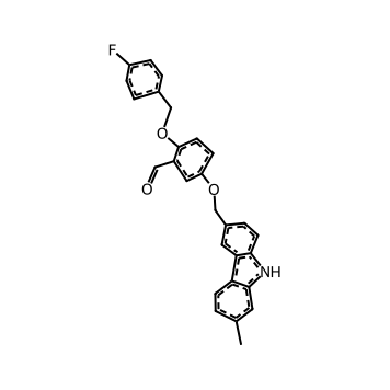 Cc1ccc2c(c1)[nH]c1ccc(COc3ccc(OCc4ccc(F)cc4)c(C=O)c3)cc12